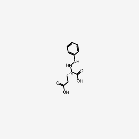 O=C(O)CC[C@H](NNc1ccccc1)C(=O)O